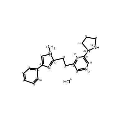 Cl.Cn1cc(-c2ccccc2)nc1CCc1cncc(N2CCCN2)n1